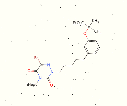 CCCCCCCn1c(=O)c(Br)nn(CCCCCc2cccc(OC(C)(C)C(=O)OCC)c2)c1=O